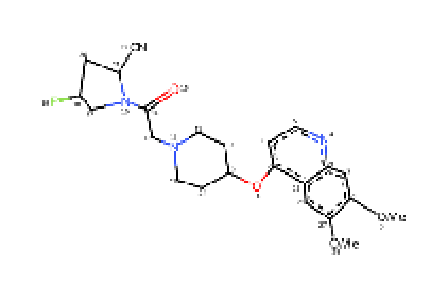 COc1cc2nccc(OC3CCN(CC(=O)N4C[C@@H](F)CC4C#N)CC3)c2cc1OC